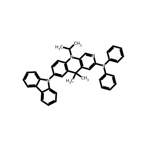 CC(C)N1c2ccc(-n3c4ccccc4c4ccccc43)cc2C(C)(C)c2cc(N(c3ccccc3)c3ccccc3)ncc21